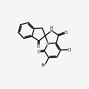 O=C1NC2(Cc3ccccc3C2=O)n2c1c(Cl)cc(Br)c2=O